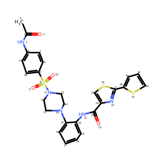 CC(=O)Nc1ccc(S(=O)(=O)N2CCN(c3ccccc3NC(=O)c3csc(-c4cccs4)n3)CC2)cc1